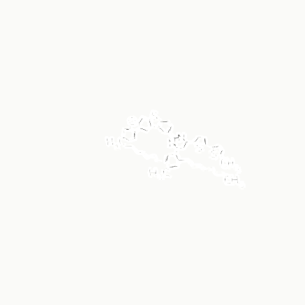 CCCCCCCCc1cc(-c2cc(-c3ccc(-c4ccc(C)s4)s3)nc(-c3ccc4sc5cc6oc7ccccc7c6cc5c4c3)n2)c(CCCCCCCC)cc1C